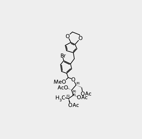 COC(O[C@H](COC(C)=O)[C@@H](OC(C)=O)[C@H](OC(C)=O)[C@H](C)OC(C)=O)c1ccc(Br)c(Cc2ccc3c(c2)OCCO3)c1